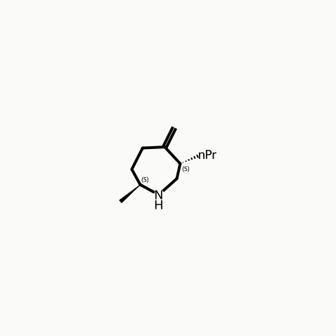 C=C1CC[C@H](C)NC[C@H]1CCC